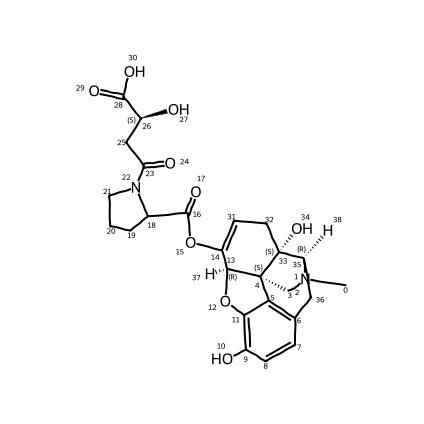 CN1CC[C@]23c4c5ccc(O)c4O[C@H]2C(OC(=O)C2CCCN2C(=O)C[C@H](O)C(=O)O)=CC[C@@]3(O)[C@H]1C5